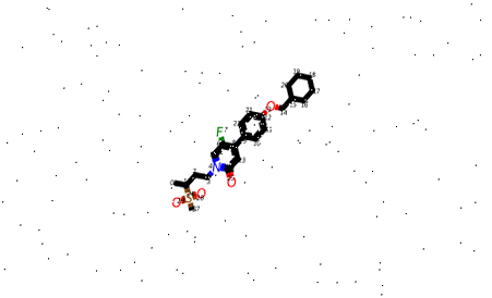 CC(CCn1cc(F)c(-c2ccc(OCC3CCCCC3)cc2)cc1=O)S(C)(=O)=O